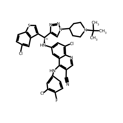 CC(C)(C)N1CCC(n2cc([C@@H](Nc3cc(Cl)c4ncc(C#N)c(Nc5ccc(F)c(Cl)c5)c4c3)c3csc4ccc(Cl)cc34)nn2)CC1